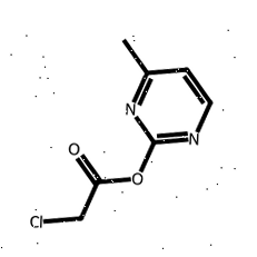 Cc1ccnc(OC(=O)CCl)n1